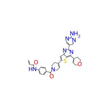 C=CC(=O)Nc1ccc(C(=O)N2CC=C(c3cc4nc(-c5cnc(N)nc5)nc(C5=CCOCC5)c4s3)CC2)cc1